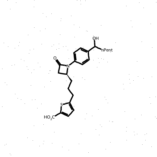 CCCCCC(O)c1ccc(N2C(=O)C[C@@H]2CCCc2ccc(C(=O)O)s2)cc1